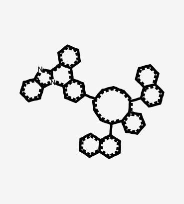 c1cc(-c2ccc3c(c2)c2ccccc2c2nc4ccccc4n32)ccc(-c2cccc3ccccc23)c2ccccc2c(-c2cccc3ccccc23)c1